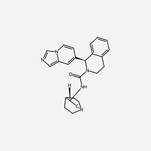 O=C(N[C@@H]1CN2CCC1CC2)N1CCc2ccccc2[C@@H]1c1ccn2cncc2c1